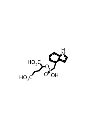 O=C(O)CCC(OP(=O)(O)Cc1cccc2[nH]ccc12)C(=O)O